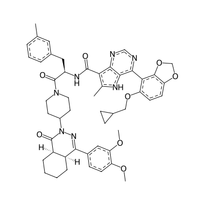 COc1ccc(C2=NN(C3CCN(C(=O)[C@@H](Cc4cccc(C)c4)NC(=O)c4c(C)[nH]c5c(-c6c(OCC7CC7)ccc7c6OCO7)ncnc45)CC3)C(=O)[C@@H]3CCCC[C@H]23)cc1OC